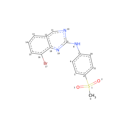 CS(=O)(=O)c1ccc(Nc2ncc3cccc(Br)c3n2)cc1